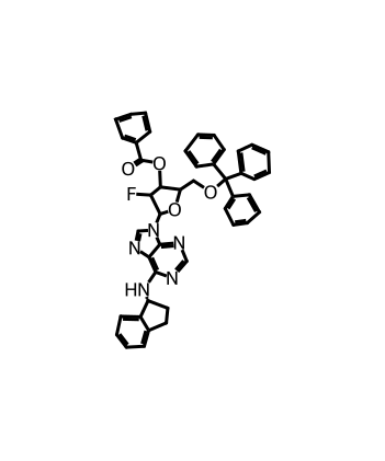 O=C(OC1C(COC(c2ccccc2)(c2ccccc2)c2ccccc2)OC(n2cnc3c(N[C@H]4CCc5ccccc54)ncnc32)C1F)c1ccccc1